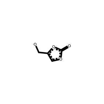 [O]Cc1coc(=O)o1